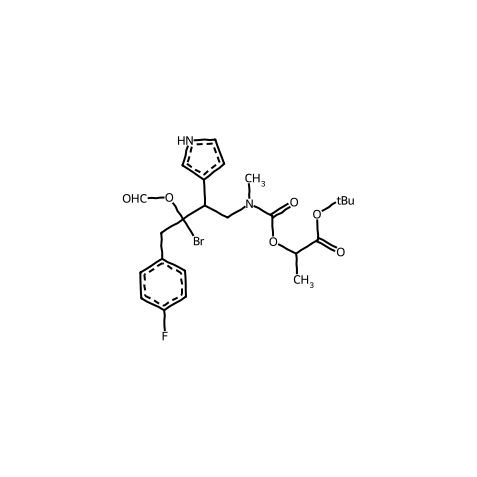 CC(OC(=O)N(C)CC(c1cc[nH]c1)C(Br)(Cc1ccc(F)cc1)OC=O)C(=O)OC(C)(C)C